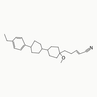 CCc1ccc(C2CCC(C3CCC(CCC=CC#N)(OC)CC3)CC2)cc1